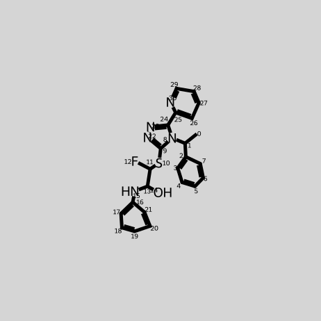 CC(c1ccccc1)n1c(SC(F)C(O)Nc2ccccc2)nnc1-c1ccccn1